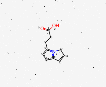 O=C(O)CCc1ccc2n1CC=C2